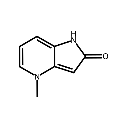 Cn1cccc2[nH]c(=O)cc1-2